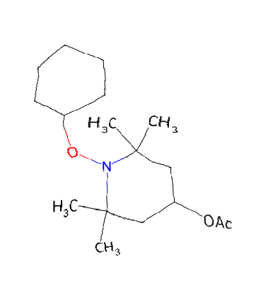 CC(=O)OC1CC(C)(C)N(OC2CCCCC2)C(C)(C)C1